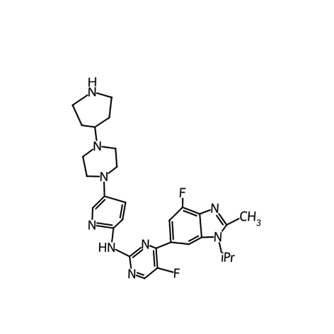 Cc1nc2c(F)cc(-c3nc(Nc4ccc(N5CCN(C6CCNCC6)CC5)cn4)ncc3F)cc2n1C(C)C